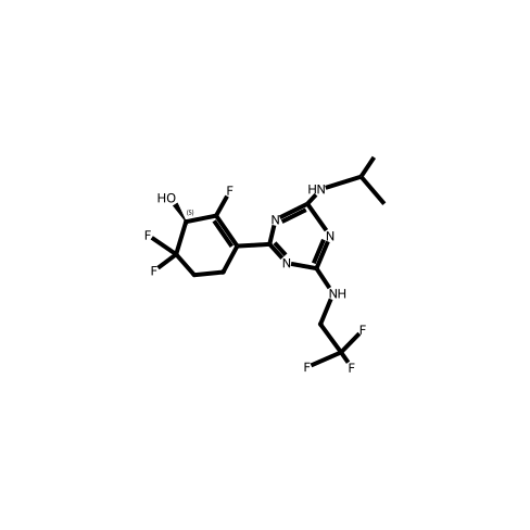 CC(C)Nc1nc(NCC(F)(F)F)nc(C2=C(F)[C@H](O)C(F)(F)CC2)n1